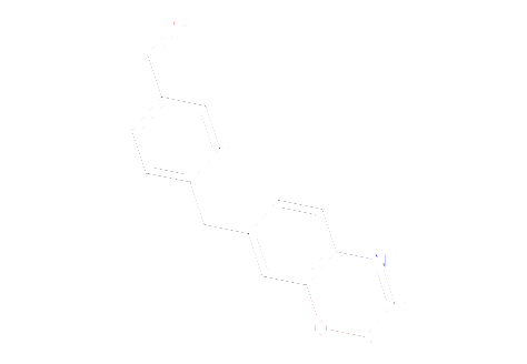 O=Cc1ccc(Cc2ccc3c(c2)OCC=N3)cc1